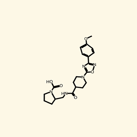 COc1ccc(-c2noc(N3CCC(C(=O)NCC4CCCN4C(=O)O)CC3)n2)cc1